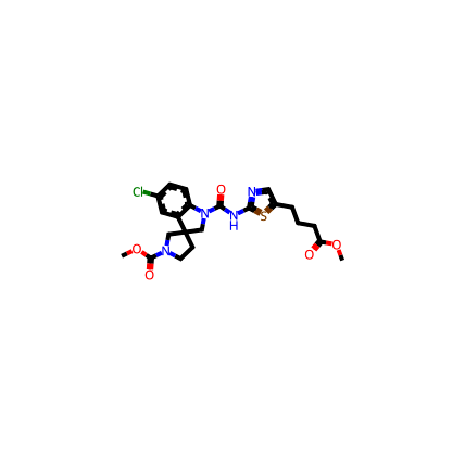 COC(=O)CCCc1cnc(NC(=O)N2CC3(CCN(C(=O)OC)C3)c3cc(Cl)ccc32)s1